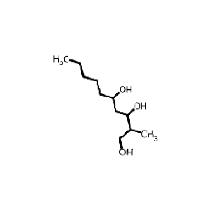 CCCCCC(O)CC(O)C(C)CO